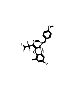 COc1ccc(Cn2cnc(C(F)(F)C(F)F)c(Oc3c(C)cc(Br)cc3Cl)c2=O)cc1